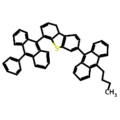 CCCCc1c2ccccc2c(-c2ccc3c(c2)SC2=C(c4c5ccccc5c(-c5ccccc5)c5ccccc45)C=CCC23)c2ccccc12